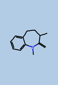 C=C1C(C)CCc2ccccc2N1C